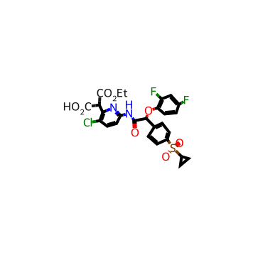 CCOC(=O)C(C(=O)O)c1nc(NC(=O)C(Oc2ccc(F)cc2F)c2ccc(S(=O)(=O)C3CC3)cc2)ccc1Cl